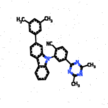 Cc1cc(C)cc(-c2ccc3c4ccccc4n(-c4cc(-c5nc(C)nc(C)n5)ccc4C#N)c3c2)c1